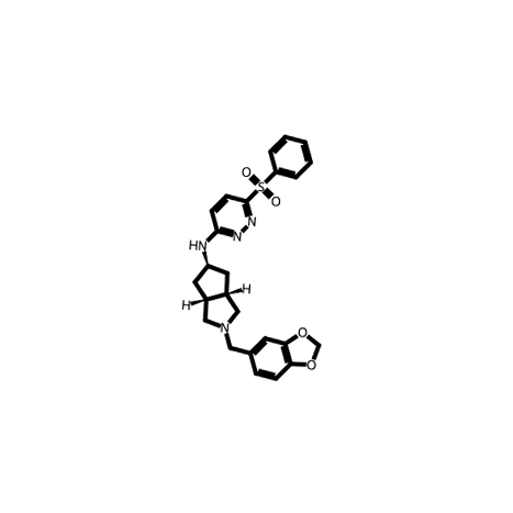 O=S(=O)(c1ccccc1)c1ccc(N[C@H]2C[C@@H]3CN(Cc4ccc5c(c4)OCO5)C[C@@H]3C2)nn1